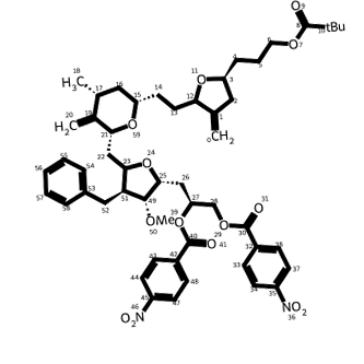 C=C1C[C@H](CCCOC(=O)C(C)(C)C)OC1CC[C@H]1C[C@@H](C)C(=C)[C@@H](CC2O[C@H](C[C@@H](COC(=O)c3ccc([N+](=O)[O-])cc3)OC(=O)c3ccc([N+](=O)[O-])cc3)[C@H](OC)[C@H]2Cc2ccccc2)O1